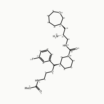 COC(=O)NCCOC(c1cccc(F)c1)[C@@H]1CCCN(C(=O)NC[C@H](N)C[C@H]2CCCCOC2)C1